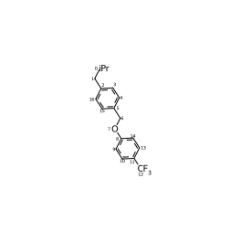 CC(C)Cc1ccc(COc2ccc(C(F)(F)F)cc2)cc1